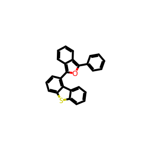 c1ccc(-c2oc(-c3cccc4sc5ccccc5c34)c3ccccc23)cc1